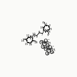 Cc1ccc(C)[n+](CCCC[n+]2cc(C)ccc2C)c1.[O-][Cl+3]([O-])([O-])[O-].[O-][Cl+3]([O-])([O-])[O-]